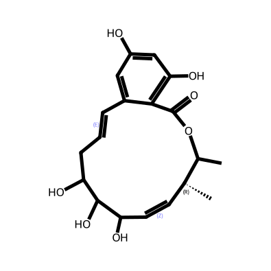 CC1OC(=O)c2c(O)cc(O)cc2/C=C/CC(O)C(O)C(O)/C=C\[C@H]1C